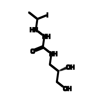 CC(I)NNC(=O)NC[C@H](O)CO